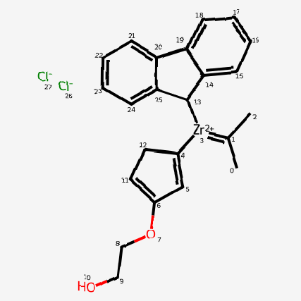 C[C](C)=[Zr+2]([C]1=CC(OCCO)=CC1)[CH]1c2ccccc2-c2ccccc21.[Cl-].[Cl-]